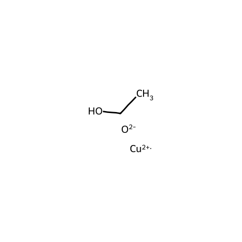 CCO.[Cu+2].[O-2]